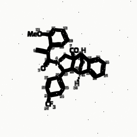 C=C(C(=O)N1CC2(C(=O)O)C3CC[C@@H](c4ccccc43)C2C1c1ccc(C(F)(F)F)cc1)c1ccccc1OC